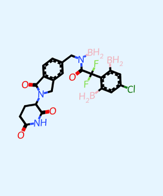 Bc1cc(Cl)cc(B)c1C(F)(F)C(=O)N(B)Cc1ccc2c(c1)CN(C1CCC(=O)NC1=O)C2=O